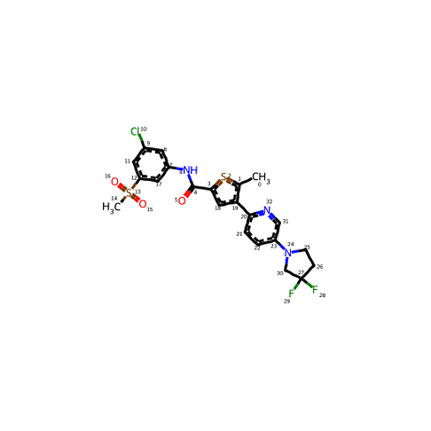 Cc1sc(C(=O)Nc2cc(Cl)cc(S(C)(=O)=O)c2)cc1-c1ccc(N2CCC(F)(F)C2)cn1